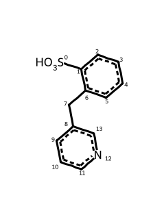 O=S(=O)(O)c1ccccc1Cc1cccnc1